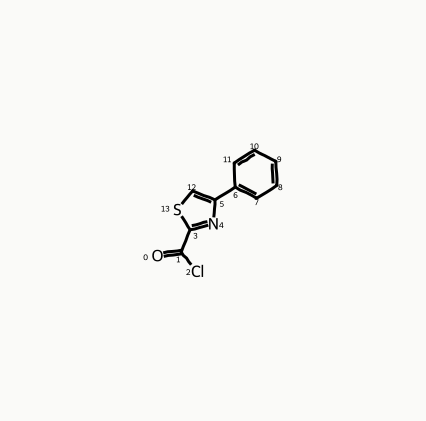 O=C(Cl)c1nc(-c2ccccc2)cs1